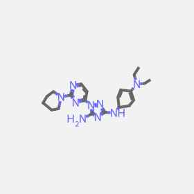 CCN(CC)C1=CCC(Nc2nc(N)n(-c3ccnc(N4CCCCC4)n3)n2)C=C1